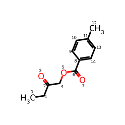 CCC(=O)COC(=O)c1ccc(C)cc1